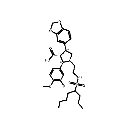 CCCCC(CCC)S(=O)(=O)NCCN1C[C@H](c2ccc3c(c2)OCO3)[C@@H](C(=O)O)[C@@H]1c1ccc(OC)c(F)c1